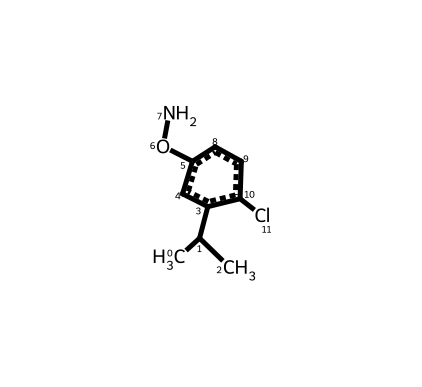 CC(C)c1cc(ON)ccc1Cl